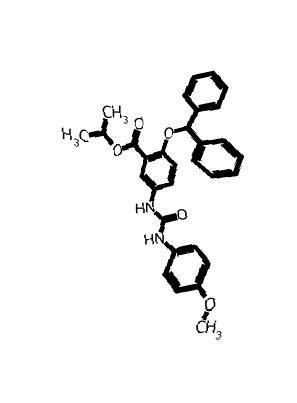 COc1ccc(NC(=O)Nc2ccc(OC(c3ccccc3)c3ccccc3)c(C(=O)OC(C)C)c2)cc1